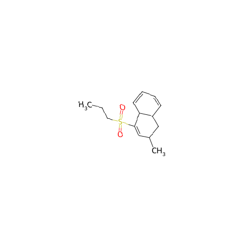 CCCS(=O)(=O)C1=CC(C)CC2C=CC=CC12